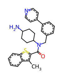 Cc1c(C(=O)N(Cc2cccc(-c3ccncc3)c2)C2CCC(N)CC2)sc2ccccc12